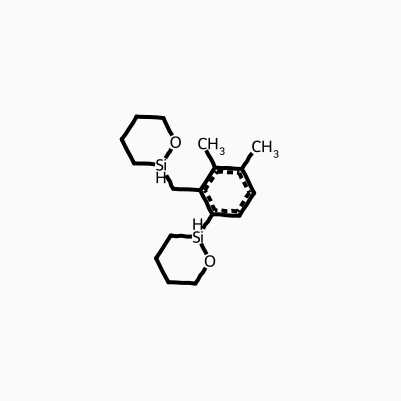 Cc1ccc([SiH]2CCCCO2)c(C[SiH]2CCCCO2)c1C